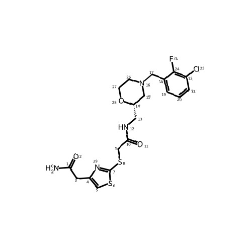 NC(=O)Cc1csc(SCC(=O)NC[C@H]2CN(Cc3cccc(Cl)c3F)CCO2)n1